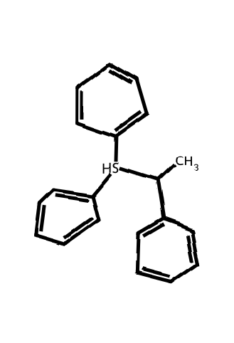 CC(c1ccccc1)[SH](c1ccccc1)c1ccccc1